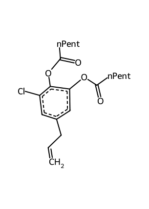 C=CCc1cc(Cl)c(OC(=O)CCCCC)c(OC(=O)CCCCC)c1